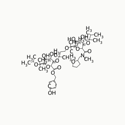 CC(C)OC(C)(C)[C@@H]1OC(C(=O)OCc2ccc(O)cc2)[C@@H](OC(C)(C)CCOC(C)(C)[C@@H]2OC(C(=O)N(C)CC3CCCO3)[C@@H](OC(C)(C)C(C)C)[C@H](O)[C@@H]2O)[C@H](O)[C@@H]1O